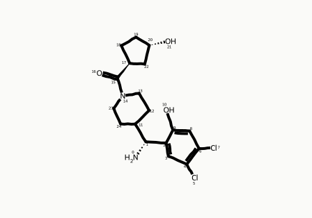 N[C@@H](c1cc(Cl)c(Cl)cc1O)C1CCN(C(=O)[C@H]2CC[C@H](O)C2)CC1